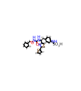 O=C(NOCc1ccccc1)N[C@@H](Cc1ccc(NS(=O)(=O)O)cc1)c1csc(-c2cccs2)n1